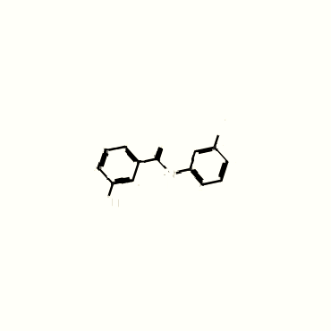 Cc1cccc(C(=O)Nc2cccc(F)c2)c1